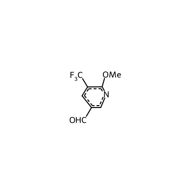 COc1ncc(C=O)cc1C(F)(F)F